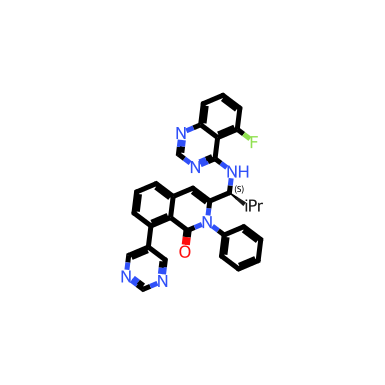 CC(C)[C@H](Nc1ncnc2cccc(F)c12)c1cc2cccc(-c3cncnc3)c2c(=O)n1-c1ccccc1